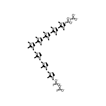 Cc1n(C)cc[n+]1C.Cc1n(C)cc[n+]1C.Cc1n(C)cc[n+]1C.Cc1n(C)cc[n+]1C.Cc1n(C)cc[n+]1C.Cc1n(C)cc[n+]1C.Cc1n(C)cc[n+]1C.Cc1n(C)cc[n+]1C.[O-]B([O-])F.[O-]B([O-])F.[O-]B([O-])F.[O-]B([O-])F